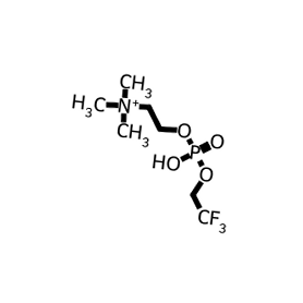 C[N+](C)(C)CCOP(=O)(O)OCC(F)(F)F